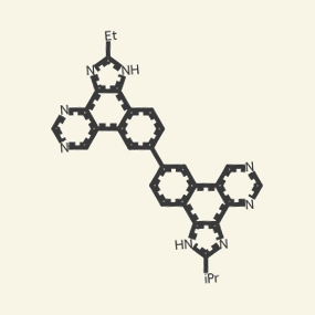 CCc1nc2c3ncncc3c3cc(-c4ccc5c(c4)c4cncnc4c4nc(C(C)C)[nH]c54)ccc3c2[nH]1